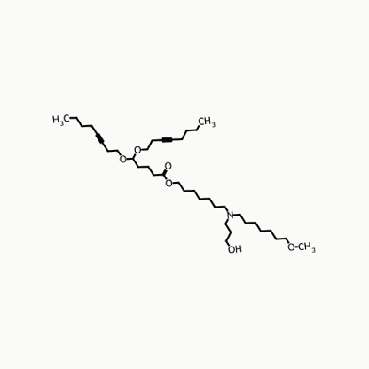 CCCCC#CCCOC(CCCC(=O)OCCCCCCCN(CCCO)CCCCCCCOC)OCCC#CCCCC